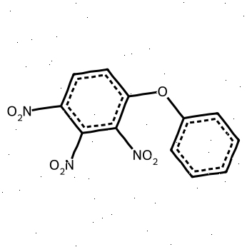 O=[N+]([O-])c1ccc(Oc2ccccc2)c([N+](=O)[O-])c1[N+](=O)[O-]